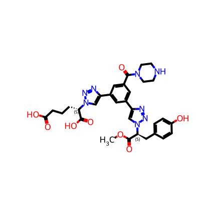 COC(=O)[C@H](Cc1ccc(O)cc1)n1cc(-c2cc(C(=O)N3CCNCC3)cc(-c3cn([C@@H](CCCC(=O)O)C(=O)O)nn3)c2)nn1